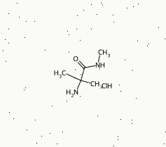 CNC(=O)C(C)(C)N.Cl